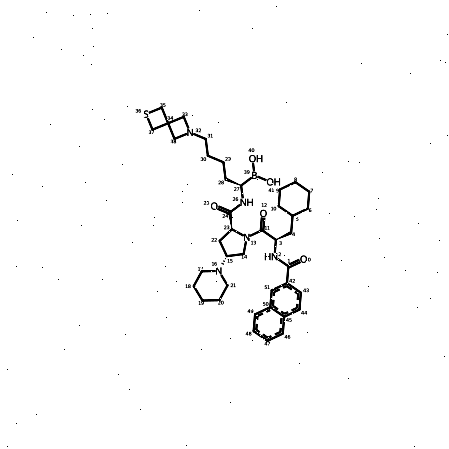 O=C(N[C@H](CC1CCCCC1)C(=O)N1C[C@H](N2CCCCC2)C[C@H]1C(=O)N[C@@H](CCCCN1CC2(CSC2)C1)B(O)O)c1ccc2ccccc2c1